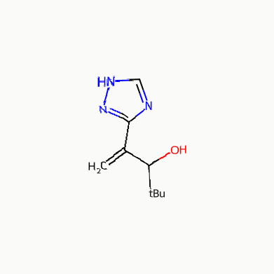 C=C(c1nc[nH]n1)C(O)C(C)(C)C